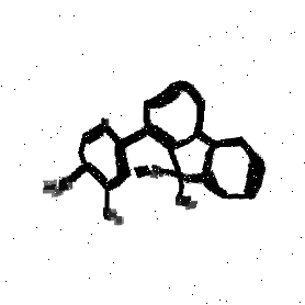 Cc1cnc(-c2cccc3c2C(C)(C)c2ccccc2-3)cc1C